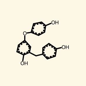 Oc1ccc(Cc2cc(Oc3ccc(O)cc3)ccc2O)cc1